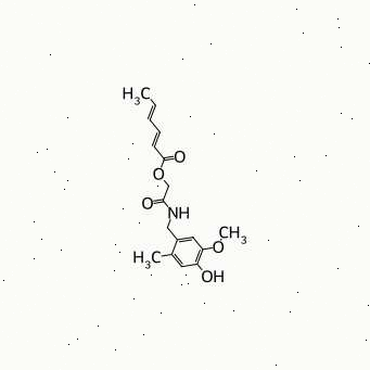 C/C=C/C=C/C(=O)OCC(=O)NCc1cc(OC)c(O)cc1C